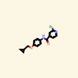 O=C(Nc1ccc(OCC2CC2)cc1)c1ccnc(Br)c1